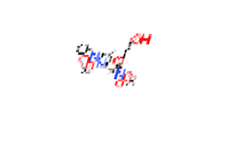 Cc1cc(C[C@@H]2CN(C(=O)OC(C)(C)C)C[C@@H]2OCCCCO)nc(N(Cc2ccccc2)C(=O)OC(C)(C)C)c1